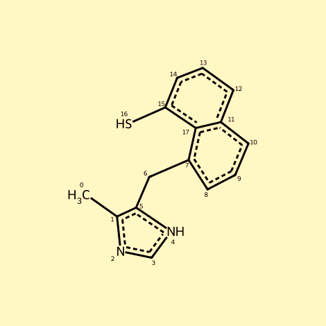 Cc1nc[nH]c1Cc1cccc2cccc(S)c12